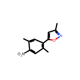 Cc1cc(-c2cc(C)c([N+](=O)[O-])cc2C)on1